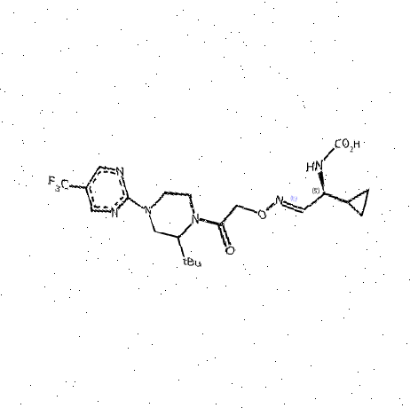 CC(C)(C)C1CN(c2ncc(C(F)(F)F)cn2)CCN1C(=O)CO/N=C/[C@@H](NC(=O)O)C1CC1